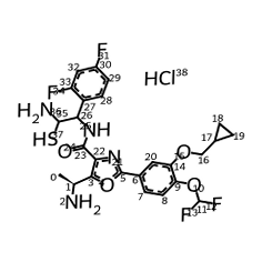 C[C@H](N)c1oc(-c2ccc(OC(F)F)c(OCC3CC3)c2)nc1C(=O)NC(c1ccc(F)cc1F)C(N)S.Cl